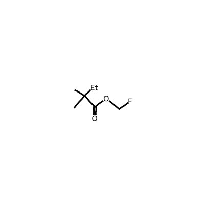 CCC(C)(C)C(=O)OCF